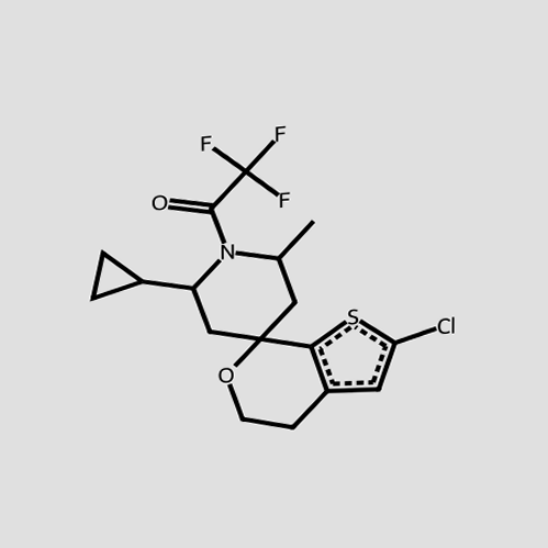 CC1CC2(CC(C3CC3)N1C(=O)C(F)(F)F)OCCc1cc(Cl)sc12